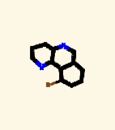 Brc1cccc2cnc3cccnc3c12